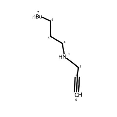 C#CCNCCCCCCC